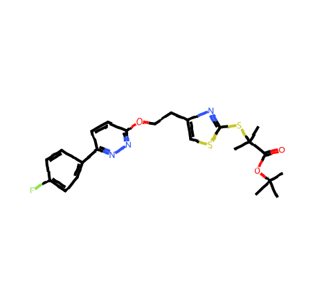 CC(C)(C)OC(=O)C(C)(C)Sc1nc(CCOc2ccc(-c3ccc(F)cc3)nn2)cs1